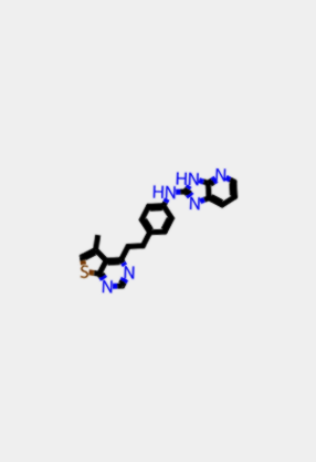 Cc1csc2ncnc(CCc3ccc(Nc4nc5cccnc5[nH]4)cc3)c12